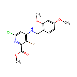 COC(=O)c1nc(Cl)cc(NCc2ccc(OC)cc2OC)c1Br